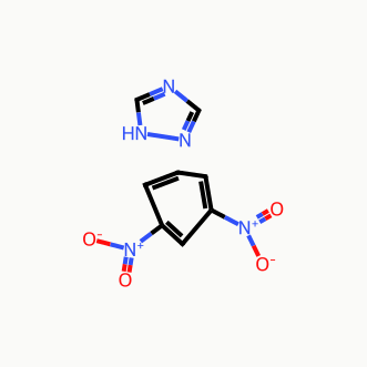 O=[N+]([O-])c1cccc([N+](=O)[O-])c1.c1nc[nH]n1